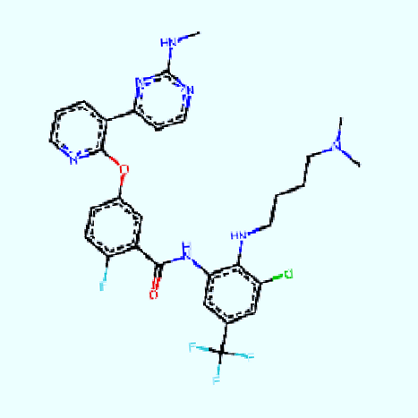 CNc1nccc(-c2cccnc2Oc2ccc(F)c(C(=O)Nc3cc(C(F)(F)F)cc(Cl)c3NCCCCN(C)C)c2)n1